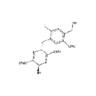 COC1=N[C@H](Cc2cc(C=O)c(CO)cc2I)C(OC)=N[C@H]1C(C)C